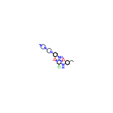 CCc1ccc(Nc2nc(Nc3ccc(N4CCC(N5CCN(C)CC5)CC4)cc3OC)ncc2Cl)c(OC)c1